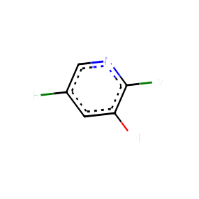 Oc1cc(F)cnc1Br